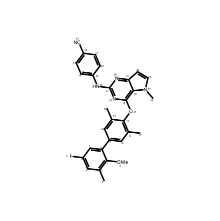 COc1c(C)cc(F)cc1-c1cc(C)c(Oc2nc(Nc3ccc(C#N)cc3)nc3ccn(C)c23)c(C)c1